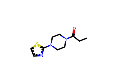 CCC(=O)N1CCN(c2nccs2)CC1